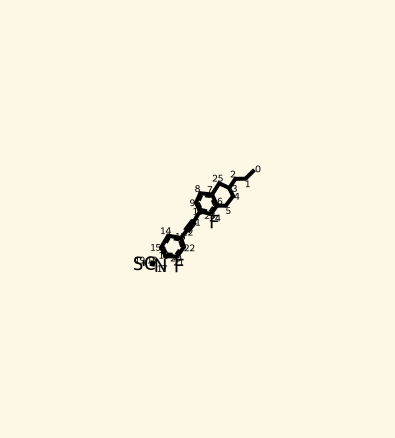 CCCC1CCc2c(ccc(C#Cc3ccc(N=C=S)c(F)c3)c2F)C1